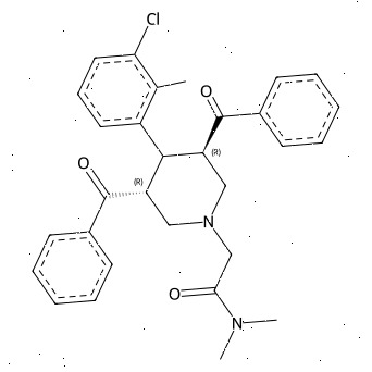 Cc1c(Cl)cccc1C1[C@@H](C(=O)c2ccccc2)CN(CC(=O)N(C)C)C[C@@H]1C(=O)c1ccccc1